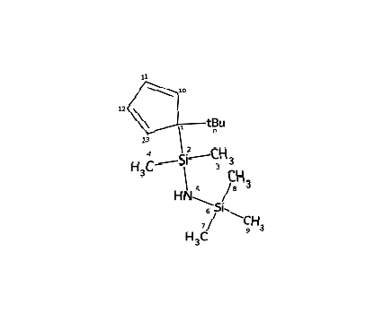 CC(C)(C)C1([Si](C)(C)N[Si](C)(C)C)C=CC=C1